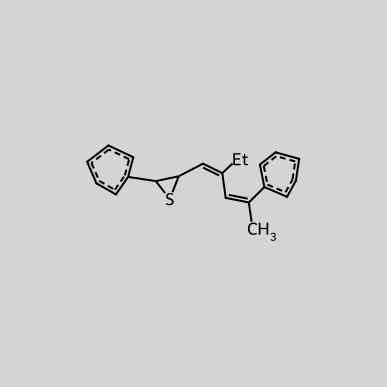 CCC(=CC1SC1c1ccccc1)C=C(C)c1ccccc1